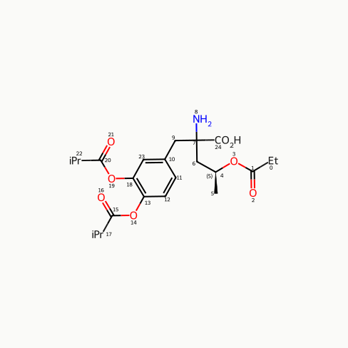 CCC(=O)O[C@@H](C)CC(N)(Cc1ccc(OC(=O)C(C)C)c(OC(=O)C(C)C)c1)C(=O)O